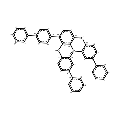 S=P12c3cc(-c4ccccc4)ccc3Oc3ccc(-c4ccc(-c5cccnc5)cc4)c(c31)Oc1ccc(-c3ccccc3)cc12